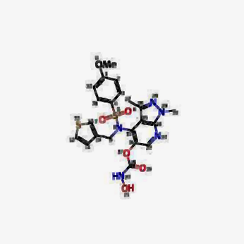 COc1ccc(S(=O)(=O)N(Cc2ccsc2)c2c(OC(=O)NO)cnc3c2c(C)nn3C)cc1